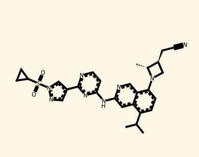 CC(C)c1ccc(N2C[C@H](CC#N)[C@H]2C)c2cnc(Nc3ccnc(-c4cnn(S(=O)(=O)C5CC5)c4)n3)cc12